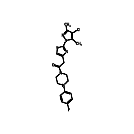 Cc1nn(-c2nc(CC(=O)N3CCN(c4ccc(F)cc4)CC3)cs2)c(C)c1Cl